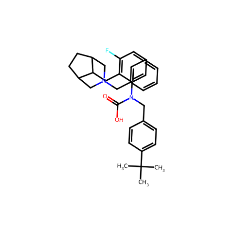 CC(C)(C)c1ccc(CN(C(=O)O)c2cccc(F)c2CC2C3CCC2CN(Cc2ccccc2)C3)cc1